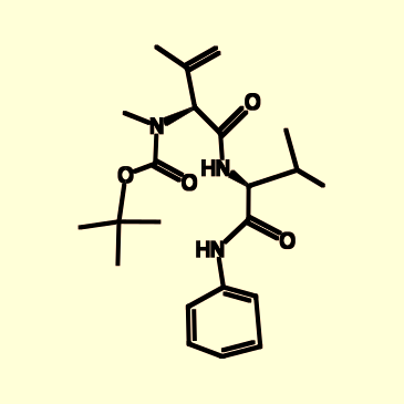 C=C(C)[C@@H](C(=O)N[C@H](C(=O)Nc1ccccc1)C(C)C)N(C)C(=O)OC(C)(C)C